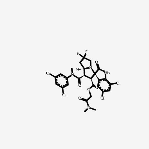 CN(C)C(=O)COC(=O)[C@H]1[C@@H](C(=O)N(C)c2cc(Cl)cc(Cl)c2)[C@H]2CC(F)(F)CN2[C@]12C(=O)Nc1c(Cl)cc(Cl)cc12